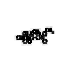 Cc1ccc(N(c2ccccc2)c2ccc3c4c(cccc24)C(C)(C)c2cc4c(cc2-3)Oc2cccc3c2B4c2ccccc2N3c2ccccc2)cc1